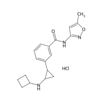 Cc1cc(NC(=O)c2cccc(C3CC3NC3CCC3)c2)no1.Cl